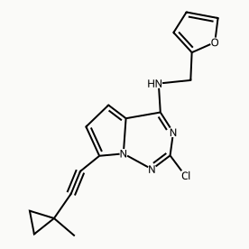 CC1(C#Cc2ccc3c(NCc4ccco4)nc(Cl)nn23)CC1